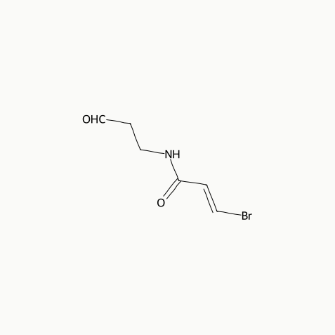 O=CCCNC(=O)C=CBr